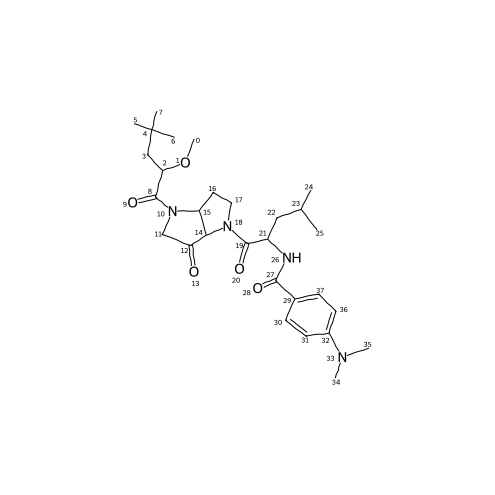 COC(CC(C)(C)C)C(=O)N1CC(=O)C2C1CCN2C(=O)C(CC(C)C)NC(=O)c1ccc(N(C)C)cc1